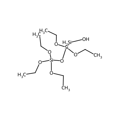 CCO[Si](OCC)(OCC)O[Si](OCC)(OCC)[SiH2]O